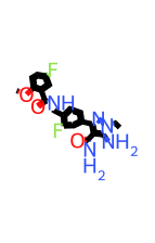 CCn1nc(-c2ccc(CNC(=O)c3cc(F)ccc3OC)c(F)c2)c(C(N)=O)c1N